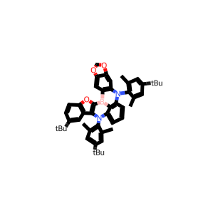 Cc1cc(C(C)(C)C)cc(C)c1N1c2cc3c(cc2B2c4oc5ccc(C(C)(C)C)cc5c4N(c4c(C)cc(C(C)(C)C)cc4C)c4cccc1c42)OCO3